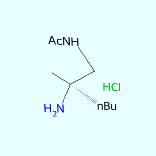 CCCC[C@@](C)(N)CNC(C)=O.Cl